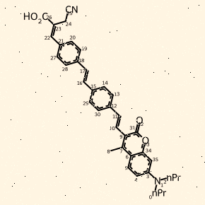 CCCN(CCC)c1ccc2c(C)c(/C=C/c3ccc(/C=C/c4ccc(/C=C(\CC#N)C(=O)O)cc4)cc3)c(=O)oc2c1